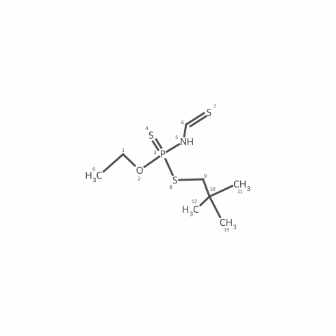 CCOP(=S)(NC=S)SCC(C)(C)C